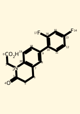 O=C(O)CN1C(=O)CCc2cc(-c3ccc(F)cc3F)ccc21